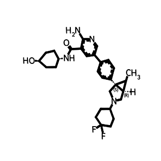 CC1[C@H]2CN(C3CCC(F)(F)CC3)C[C@@]12c1ccc(-c2cnc(N)c(C(=O)N[C@H]3CC[C@H](O)CC3)c2)cc1